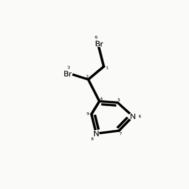 BrCC(Br)c1cncnc1